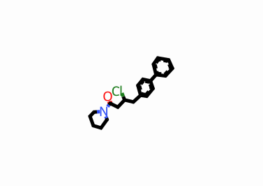 O=C(CC(Cl)Cc1ccc(-c2ccccc2)cc1)N1CCCCC1